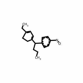 CCCC(C1=CC=C(CC)CC1)c1ccc(N=O)cc1